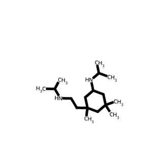 CC(C)NCCC1(C)CC(NC(C)C)CC(C)(C)C1